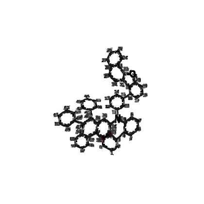 c1ccc(-c2ccccc2N(c2cccc(-c3cccc4oc5c6ccccc6ccc5c34)c2)c2ccc3c(c2)c(-c2ccccc2)c(-c2ccccc2)c2ccccc23)cc1